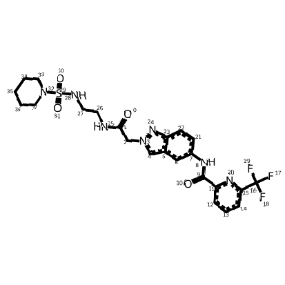 O=C(Cn1cc2cc(NC(=O)c3cccc(C(F)(F)F)n3)ccc2n1)NCCNS(=O)(=O)N1CCCCC1